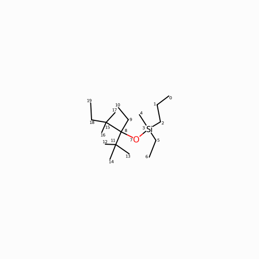 CCC[Si](C)(CC)OC(CC)(C(C)(C)C)C(C)(C)CC